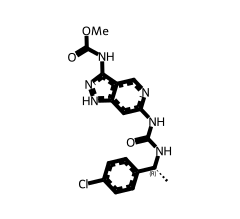 COC(=O)Nc1n[nH]c2cc(NC(=O)N[C@H](C)c3ccc(Cl)cc3)ncc12